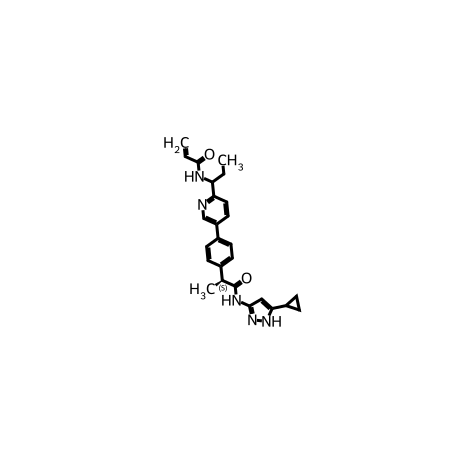 C=CC(=O)NC(CC)c1ccc(-c2ccc([C@H](C)C(=O)Nc3cc(C4CC4)[nH]n3)cc2)cn1